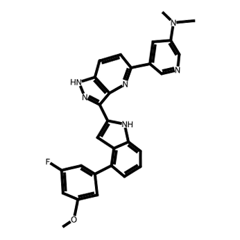 COc1cc(F)cc(-c2cccc3[nH]c(-c4n[nH]c5ccc(-c6cncc(N(C)C)c6)nc45)cc23)c1